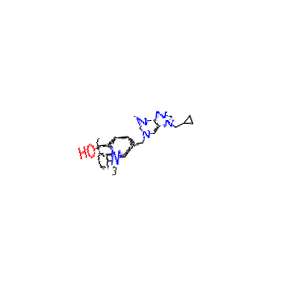 CN1CN(Cc2ccc(C(C)(O)C(F)(F)F)nc2)C=C2C1=NCN2CC1CC1